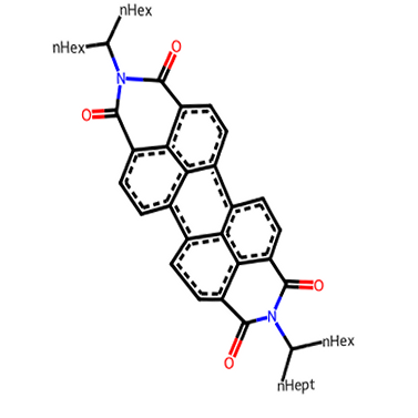 CCCCCCCC(CCCCCC)N1C(=O)c2ccc3c4ccc5c6c(ccc(c7ccc(c2c37)C1=O)c64)C(=O)N(C(CCCCCC)CCCCCC)C5=O